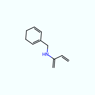 C=CC(=C)NCC1=CCCC=C1